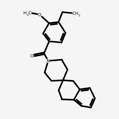 CCc1ccc(C(=O)N2CCC3(CCc4ccccc4C3)CC2)cc1OC